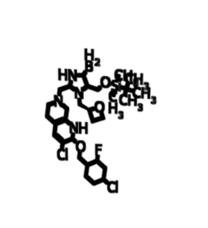 BC1NC(CN2CCC3=C(C2)NC(OCC2CCC(Cl)CC2F)C(Cl)=C3)N(C[C@@H]2CCO2)C1CO[Si](C)(C)C(C)(C)C